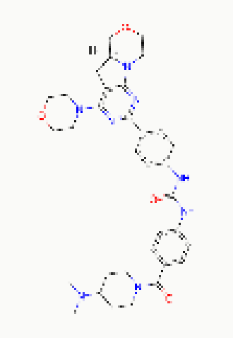 CN(C)C1CCN(C(=O)c2ccc(NC(=O)Nc3ccc(-c4nc(N5CCOCC5)c5c(n4)N4CCOC[C@@H]4C5)cc3)cc2)CC1